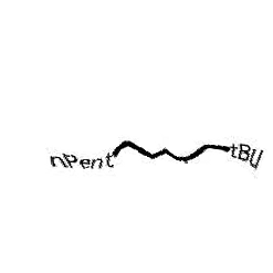 CCCCCCCC[CH]CC(C)(C)C